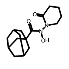 O=C1CCCCN1N(O)C(=O)C12CC3CC(CC(C3)C1)C2